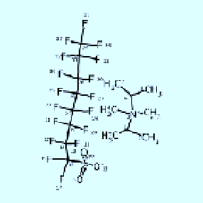 CC(C)[N+](C)(C)C(C)C.O=S(=O)([O-])C(F)(F)C(F)(F)C(F)(F)C(F)(F)C(F)(F)C(F)(F)C(F)(F)C(F)(F)F